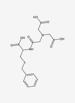 O=C(O)CN(CC(=O)O)CC(=O)NC(CSCc1ccccc1)C(=O)O